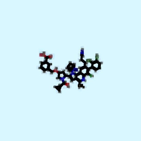 Cc1nc2c(F)c(-c3cccc(Cl)c3Cl)c(CCC#N)cc2c2c1cc(C1CC(OCc3cccc(C(=O)O)c3)CN1C(=O)C1CC1)n2C1C2CNC1C2